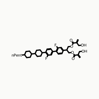 C=C(CO)C(=O)OCC(COC(=O)C(=C)CO)c1ccc(-c2ccc(C3CCC(C4CCC(CCCCC)CC4)CC3)c(F)c2)c(F)c1